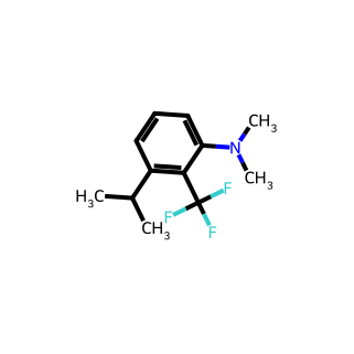 CC(C)c1cccc(N(C)C)c1C(F)(F)F